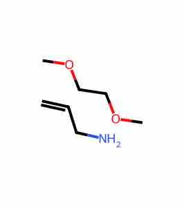 C=CCN.COCCOC